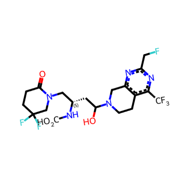 O=C(O)N[C@@H](CC(O)N1CCc2c(nc(CF)nc2C(F)(F)F)C1)CN1CC(F)(F)CCC1=O